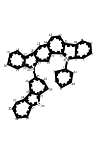 c1ccc(-n2c3ccccc3c3ccc4cc5c6ccccc6n(-c6ccc7sc8ccccc8c7c6)c5cc4c32)cc1